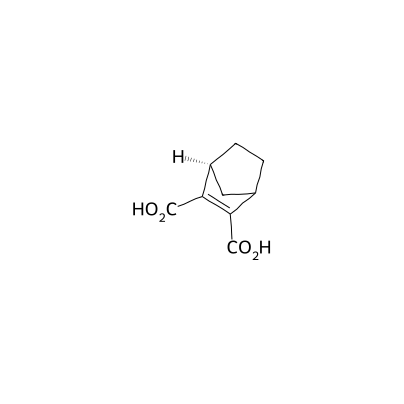 O=C(O)C1=C(C(=O)O)[C@H]2CCC1C2